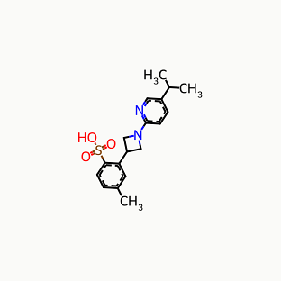 Cc1ccc(S(=O)(=O)O)c(C2CN(c3ccc(C(C)C)cn3)C2)c1